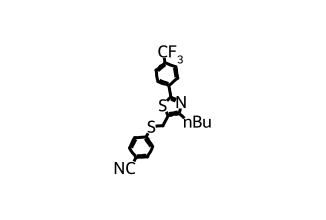 CCCCc1nc(-c2ccc(C(F)(F)F)cc2)sc1CSc1ccc(C#N)cc1